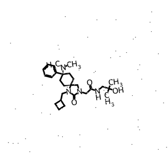 CN(C)[C@]1(c2ccccc2)CC[C@@]2(CC1)CN(CC(=O)NCC(C)(C)O)C(=O)N2CC1CCC1